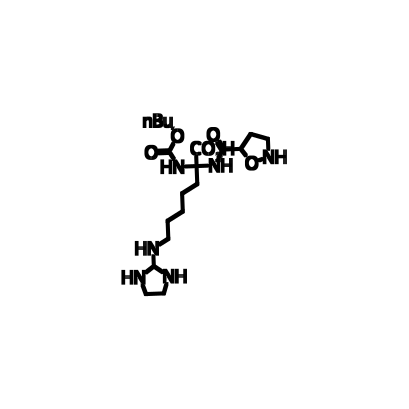 CCCCOC(=O)NC(CCCCCNC1NCCN1)(NC(=O)C1CCNO1)C(=O)O